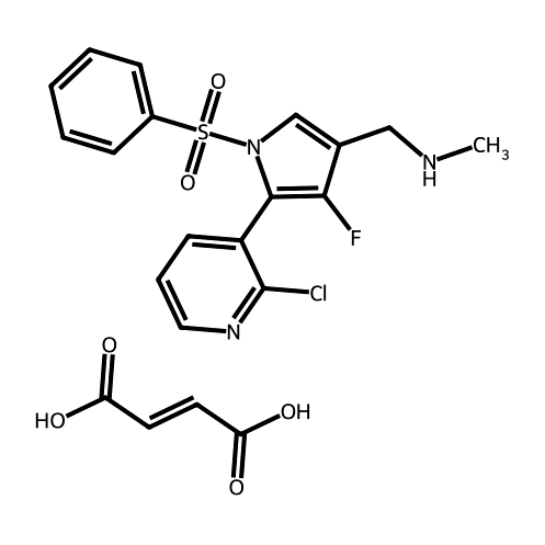 CNCc1cn(S(=O)(=O)c2ccccc2)c(-c2cccnc2Cl)c1F.O=C(O)C=CC(=O)O